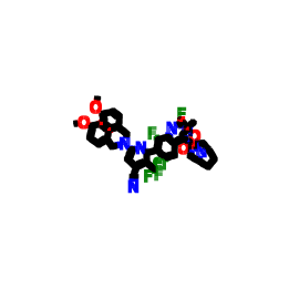 COc1ccc(CN(Cc2ccc(OC)cc2)c2cc(C#N)c(C(F)(F)F)c(-c3c(Cl)cc4c(N5CC6CCC(C5)N6C(=O)OC(C)(C)C)nc(F)nc4c3F)n2)cc1